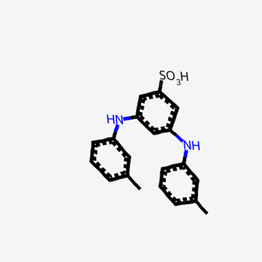 Cc1cccc(Nc2cc(Nc3cccc(C)c3)cc(S(=O)(=O)O)c2)c1